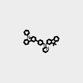 CC1(C)c2ccccc2-c2ccc(N(c3ccc(-c4ccc5c(c4)c4ccccc4n5-c4ccccc4)cc3)c3ccccn3)cc21